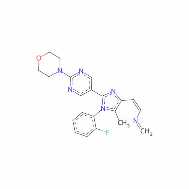 C=N/C=C\c1nc(-c2cnc(N3CCOCC3)nc2)n(-c2ccccc2F)c1C